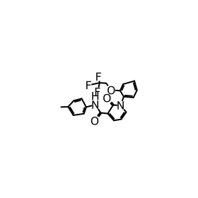 Cc1ccc(NC(=O)c2cccn(-c3ccccc3OCC(F)(F)F)c2=O)cc1